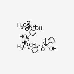 CC(C)(Cc1cccc(CC(=O)N[C@@H](CO)c2ccccc2)c1)NC[C@@H](O)c1ccc(O)c(NS(C)(=O)=O)c1